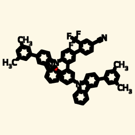 Cc1cc(C)cc(-c2ccc3c(c2)c2ccccc2n3-c2ccc(C#N)c(-c3cc(-c4ccc(C#N)cc4C(F)(F)F)ccc3-n3c4ccccc4c4cc(-c5cc(C)cc(C)c5)ccc43)c2)c1